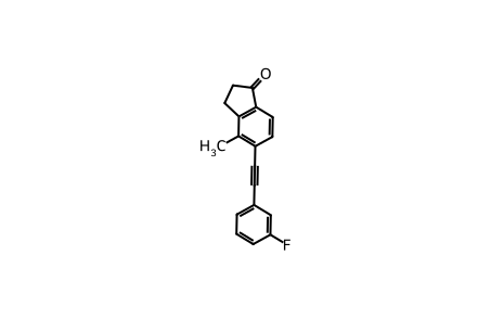 Cc1c(C#Cc2cccc(F)c2)ccc2c1CCC2=O